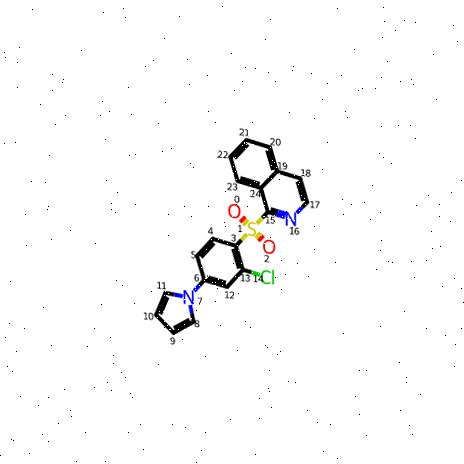 O=S(=O)(c1ccc(-n2cccc2)cc1Cl)c1nccc2ccccc12